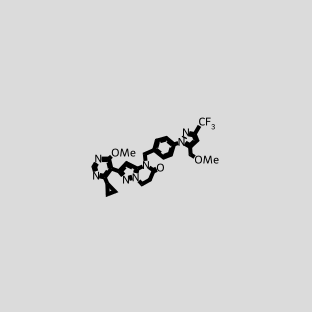 COCc1cc(C(F)(F)F)nn1-c1ccc(CN2C(=O)CCn3nc(-c4c(OC)ncnc4C4CC4)cc32)cc1